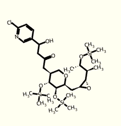 C[C@@H]([C@@H]1O[C@H]1C[C@@H]1OC[C@H](CC(=O)CC(O)c2ccc(Cl)nc2)[C@@H](O[Si](C)(C)C)[C@@H]1O[Si](C)(C)C)[C@H](C)O[Si](C)(C)C